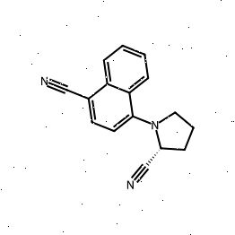 N#Cc1ccc(N2CCC[C@@H]2C#N)c2ccccc12